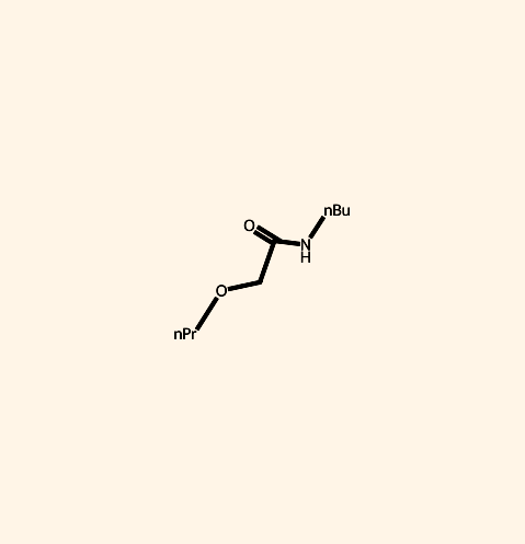 [CH2]CCOCC(=O)NCCCC